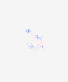 CC(C)(C)C[C@]1(c2ccc(-c3cn(C4CC4)nn3)c(F)c2)N/C(=N/CC(=O)OCc2ccccc2)N([C@H](COC(=O)NC2(C(F)(F)F)CC2)c2ccc(Cl)c(-n3ncnc3C(F)F)c2)C1=O